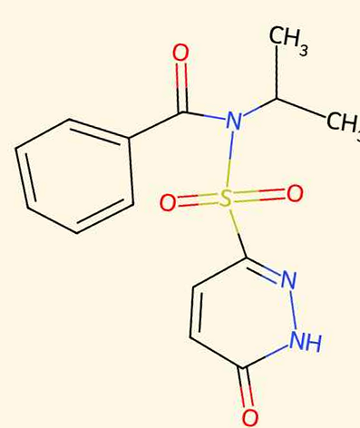 CC(C)N(C(=O)c1ccccc1)S(=O)(=O)c1ccc(=O)[nH]n1